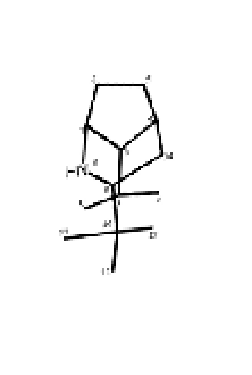 CC(C)C1C2CCC1NC(C(C)(C)C)C2